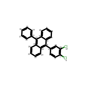 Clc1ccc(-c2c3ccccc3c(-c3ccccc3)c3ccccc23)cc1Cl